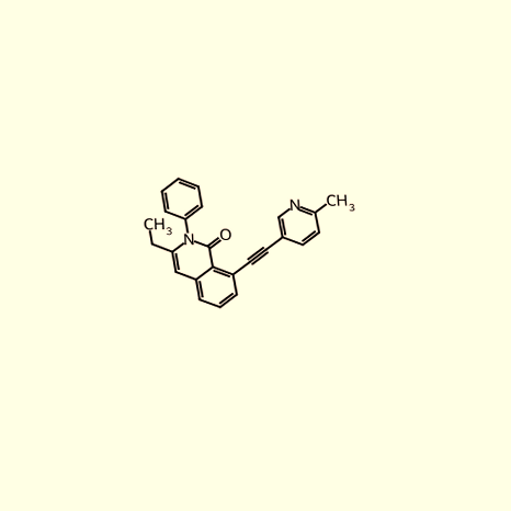 CCc1cc2cccc(C#Cc3ccc(C)nc3)c2c(=O)n1-c1ccccc1